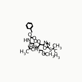 COCC[C@H](NC(=O)[C@H](CC(C)C)NC(=O)OCc1ccccc1)C(=O)c1nnc(SC(C)C)o1